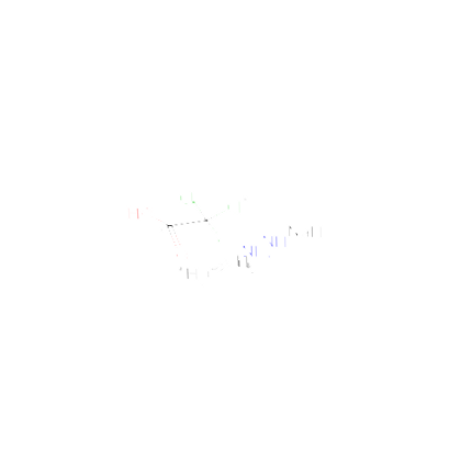 C=C.N.N.O=C(O)C(Cl)(Cl)Cl.[NaH]